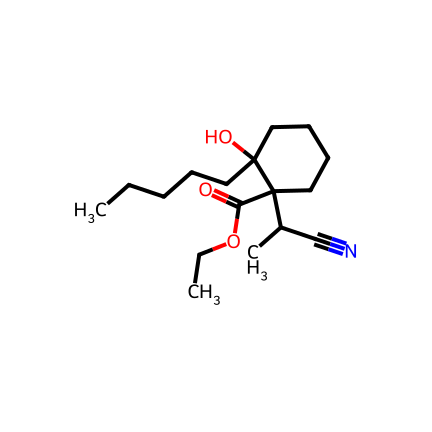 CCCCCC1(O)CCCCC1(C(=O)OCC)C(C)C#N